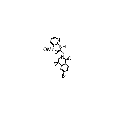 COc1cccnc1NC(=O)CN1CC2(CC2)c2cc(Br)ccc2C1=O